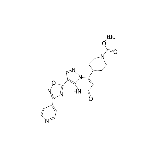 CC(C)(C)OC(=O)N1CCC(c2cc(=O)[nH]c3c(-c4nc(-c5ccncc5)no4)cnn23)CC1